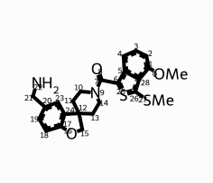 COc1cccc2c(C(=O)N3CCC4(CC3)COc3ccc(CN)cc34)sc(SC)c12